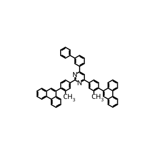 Cc1cc(-c2cc(-c3cccc(-c4ccccc4)c3)nc(-c3ccc(-c4cc5ccccc5c5ccccc45)c(C)c3)n2)ccc1-c1cc2ccccc2c2ccccc12